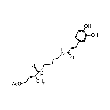 CC(=O)OC/C=C(\C)C(=O)NCCCCNC(=O)/C=C/c1ccc(O)c(O)c1